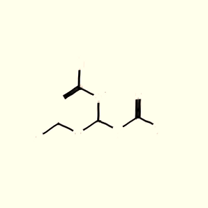 CCO[C](OC(C)=O)OC(C)=O